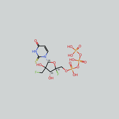 O=c1ccn([C@@H]2O[C@](F)(COP(=O)(O)OP(=O)(O)OP(=O)(O)O)[C@H](O)C2(O)CF)c(=S)[nH]1